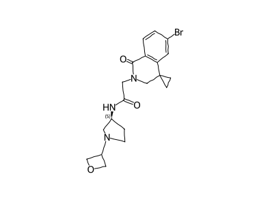 O=C(CN1CC2(CC2)c2cc(Br)ccc2C1=O)N[C@H]1CCN(C2COC2)C1